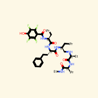 CCNC(=O)[C@@H](NC(=O)[C@H](CC)NC[C@H](CC(C)C)NC(=O)[C@H](CCc1ccccc1)NC(=O)[C@H](CC(C)C)NC(=O)c1c(F)c(F)c(O)c(F)c1F)C(C)C